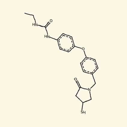 CCNC(=O)Nc1ccc(Oc2ccc(CN3CC(S)CC3=O)cc2)cc1